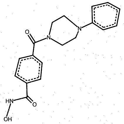 O=C(NO)c1ccc(C(=O)N2CCN(c3ccccc3)CC2)cc1